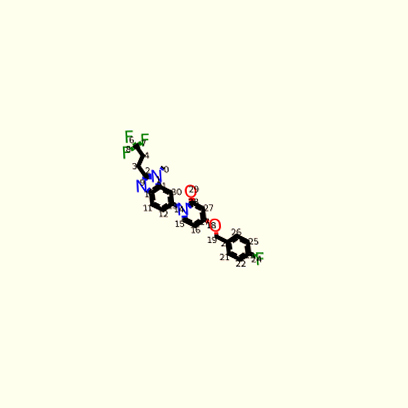 Cn1c(CCC(F)(F)F)nc2ccc(-n3ccc(OCc4ccc(F)cc4)cc3=O)cc21